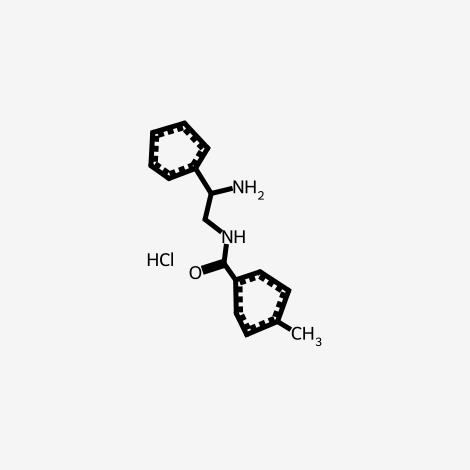 Cc1ccc(C(=O)NCC(N)c2ccccc2)cc1.Cl